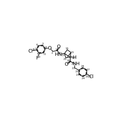 O=C(COc1ccc(Cl)c(F)c1)NC12CC(C1)[C@@H](C(=O)NCc1ccc(Cl)cc1)C2